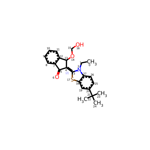 CCN1/C(=C2/C(=O)c3ccccc3C2OCO)Sc2cc(C(C)(C)C)ccc21